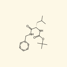 CC(C)C[C@H](NC(=O)OC(C)(C)C)C(=O)NCc1ccccc1